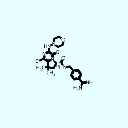 CC1(C)C[C@@H](C(=O)NCc2ccc(C(=N)N)cc2)n2c1c(Cl)nc(NN1CCOCC1)c2=O